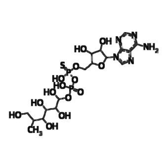 CC(CO)C(O)C(O)C(O)C(O)OP(=O)(O)OP(O)(=S)OCC1OC(n2cnc3c(N)ncnc32)C(O)C1O